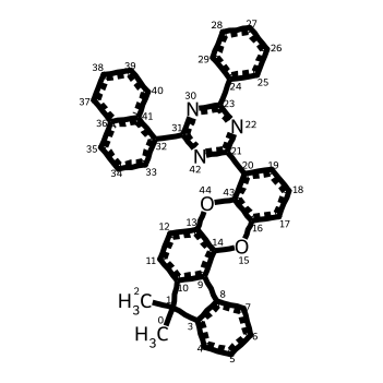 CC1(C)c2ccccc2-c2c1ccc1c2Oc2cccc(-c3nc(-c4ccccc4)nc(-c4cccc5ccccc45)n3)c2O1